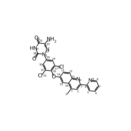 Cc1cc(-c2ccccn2)nc2ccc(Oc3c(Cl)cc(-n4nc(N)c(=O)[nH]c4=O)cc3Cl)cc12